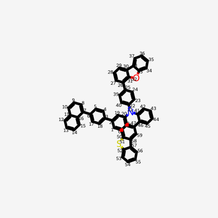 c1cc(-c2ccc(-c3cccc4ccccc34)cc2)cc(N(c2ccc(-c3cccc4c3oc3ccccc34)cc2)c2ccccc2-c2ccc3sc4ccccc4c3c2)c1